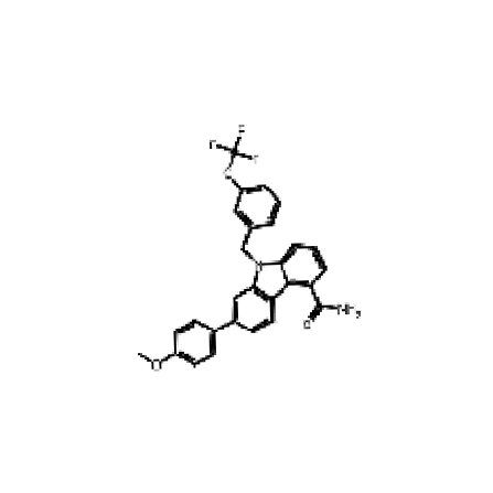 COc1ccc(-c2c[c]c3c4c(C(N)=O)cccc4n(Cc4cccc(OC(F)(F)F)c4)c3c2)cc1